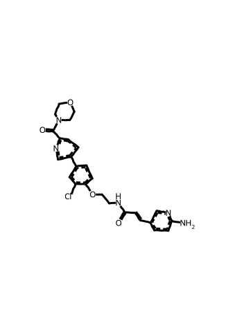 Nc1ccc(/C=C/C(=O)NCCOc2ccc(-c3ccc(C(=O)N4CCOCC4)nc3)cc2Cl)cn1